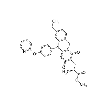 CCc1ccc(Cn2c(Nc3ccc(Oc4ccccn4)cc3)nc(=O)n(C[C@H](C)C(=O)OC)c2=O)cc1